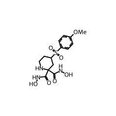 COc1ccc(S(=O)(=O)C2CCNC(C(=O)NO)(C(=O)NO)C2)cc1